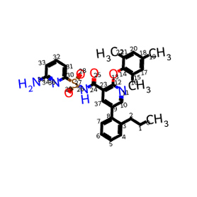 CCCc1ccccc1-c1cnc(Oc2c(C)cc(C)cc2C)c(C(=O)NS(=O)(=O)c2cccc(N)n2)c1